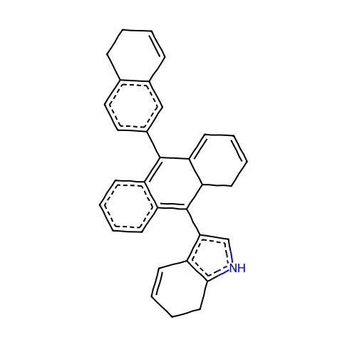 C1=CCC2C(=C1)C(c1ccc3c(c1)C=CCC3)=c1ccccc1=C2c1c[nH]c2c1C=CCC2